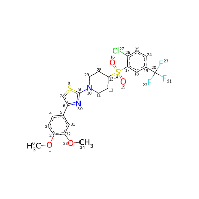 COc1ccc(-c2csc(N3CCC(S(=O)(=O)c4cc(C(F)(F)F)ccc4Cl)CC3)n2)cc1OC